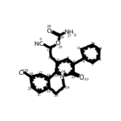 N#CC(Cc1cc(-c2ccccc2)c(=O)n2c1-c1cc(Cl)ccc1CC2)OC(N)=O